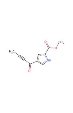 CC#CC(=O)c1c[nH]c(C(=O)OC)c1